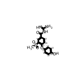 CS(=O)(=O)c1cc(C(=O)NC(=N)N)ccc1Oc1ccc(O)cc1